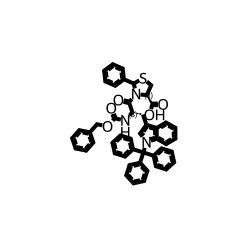 O=C(N[C@@H](Cc1cn(C(c2ccccc2)(c2ccccc2)c2ccccc2)c2ccccc12)C(=O)N1C(c2ccccc2)SC[C@H]1C(=O)O)OCc1ccccc1